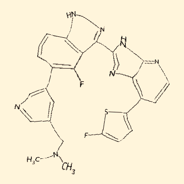 CN(C)Cc1cncc(-c2ccc3[nH]nc(-c4nc5c(-c6ccc(F)s6)ccnc5[nH]4)c3c2F)c1